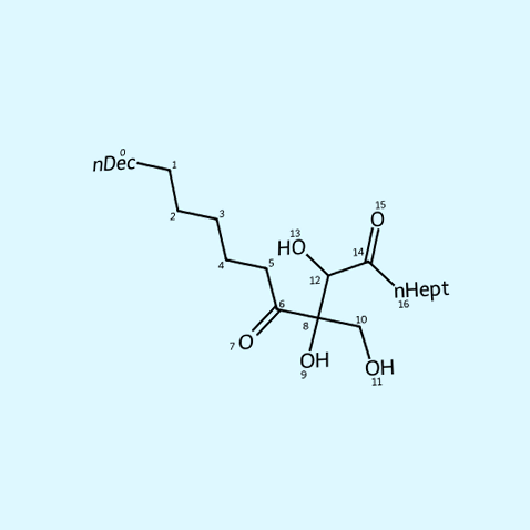 CCCCCCCCCCCCCCCC(=O)C(O)(CO)C(O)C(=O)CCCCCCC